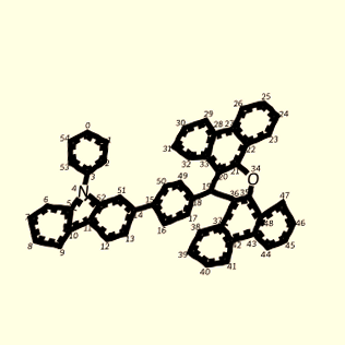 c1ccc(-n2c3ccccc3c3ccc(-c4ccc(C5c6c(c7ccccc7c7ccccc67)Oc6c5c5ccccc5c5ccccc65)cc4)cc32)cc1